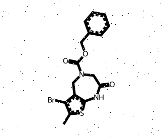 Cc1sc2c(c1Br)CN(C(=O)OCc1ccccc1)CC(=O)N2